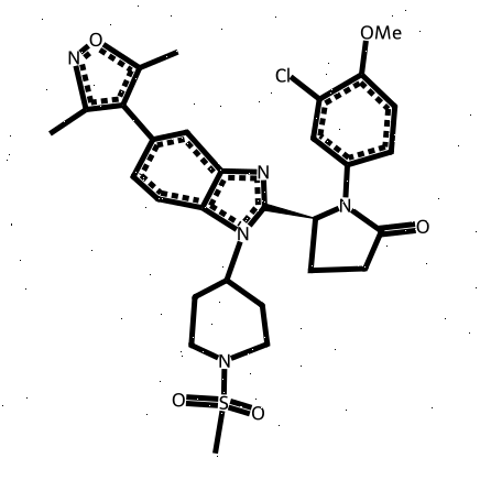 COc1ccc(N2C(=O)CC[C@H]2c2nc3cc(-c4c(C)noc4C)ccc3n2C2CCN(S(C)(=O)=O)CC2)cc1Cl